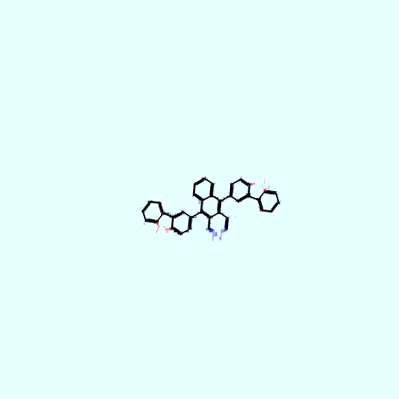 c1ccc2c(c1)oc1ccc(-c3c4ccccc4c(-c4ccc5oc6ccccc6c5c4)c4cnccc34)cc12